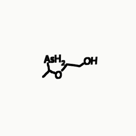 CC([AsH2])OCCO